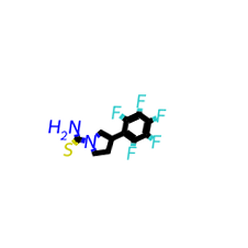 NC(=S)N1CCC(c2c(F)c(F)c(F)c(F)c2F)C1